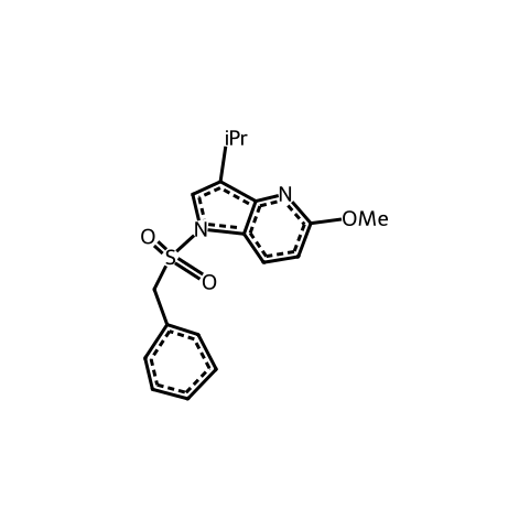 COc1ccc2c(n1)c(C(C)C)cn2S(=O)(=O)Cc1ccccc1